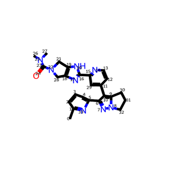 Cc1cccc(-c2nn3c(c2-c2ccnc(-c4nc5c([nH]4)CN(C(=O)N(C)C)C5)c2)CCC3)n1